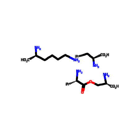 CC(C)C[C@H](N)C(=O)O.CC(C)[C@H](N)C(=O)OC[C@H](N)C(=O)O.NCCCC[C@H](N)C(=O)O